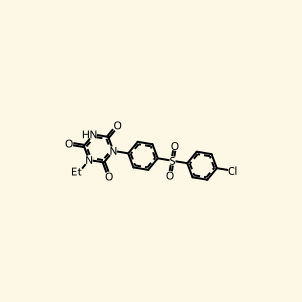 CCn1c(=O)[nH]c(=O)n(-c2ccc(S(=O)(=O)c3ccc(Cl)cc3)cc2)c1=O